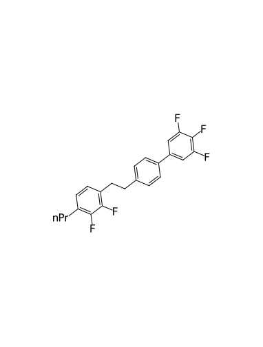 CCCc1ccc(CCc2ccc(-c3cc(F)c(F)c(F)c3)cc2)c(F)c1F